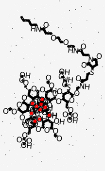 CCCCCNC(=O)CCOCCOCCNC(=O)CCN1C(=O)CC(SCCC(=O)NCO[C@@H]2OC(COS(=O)(=O)O)[C@@H](O[C@@H]3OC(OC=O)[C@@H](O[C@H]4O[C@@H](COOO)[C@@H](O[C@@H]5O[C@@H](OC=O)[C@@H](O[C@H]6OC(COS(=O)(=O)O)[C@@H](O[C@@H]7OC(OC=O)[C@@H](O)[C@@H](O)C7OS(=O)(=O)O)[C@H](O)C6SONOO)C(O)C5OS(=O)(=O)O)C(O)C4SONOO)[C@@H](O)C3OS(=O)(=O)O)[C@H](O)C2SONOO)C1=O